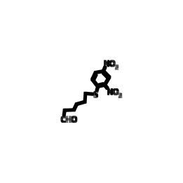 O=CCCCCCSc1ccc([N+](=O)[O-])cc1[N+](=O)[O-]